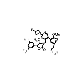 COc1ncc(CCC(=O)O)cc1-c1cnc(N2CC(F)C2)nc1CN1C(=O)O[C@H](c2cc(C)cc(C(F)(F)F)c2)[C@@H]1C